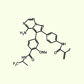 C=C(F)C(=O)Nc1ccc(-c2nn3ncnc(N)c3c2-c2ccc(C(=O)NC(C)C(F)(F)F)c(OC)c2)cc1